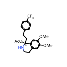 COc1cc2c(cc1OC)[C@](CCc1ccc(C(F)(F)F)cc1)(OC(C)=O)NCC2